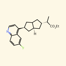 CCOC(=O)C(C)[C@H]1CC2C[C@H](c3ccnc4ccc(F)cc34)C[C@@H]2C1